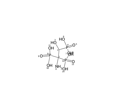 NC(C(O)P(=O)(O)O)(P(=O)(O)O)P(=O)(O)O